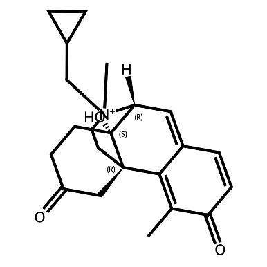 CC1=C2C(=C[C@@H]3[C@]4(O)CCC(=O)C[C@]24CC[N+]3(C)CC2CC2)C=CC1=O